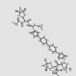 COC(=O)NC(C(=O)N[C@@H](CC1CC1)c1nc(-c2ccc(-c3ccc(-c4c[nH]c([C@@H]5C[C@H]6C[C@H]6N5C(=O)C(NC(=O)OC)[C@H]5C[C@@H]6C[C@@H]6C5)n4)cc3)cc2)c[nH]1)[C@H]1C[C@@H]2C[C@@H]2C1